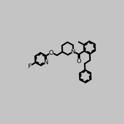 Cc1cccc(CCc2ccccc2)c1C(=O)N1CCCC(COc2ccc(F)cn2)C1